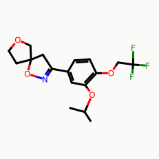 CC(C)Oc1cc(C2=NOC3(CCOC3)C2)ccc1OCC(F)(F)F